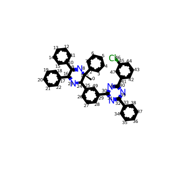 C[C@]1(c2ccccc2)N=C(c2ccccc2)C(c2ccccc2)=NC1c1cccc(-c2nc(-c3ccccc3)nc(-c3cccc(Cl)c3)n2)c1